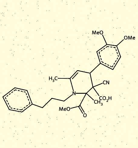 COC(=O)C1(C)N(CCCc2ccccc2)C(C)=CC(c2ccc(OC)c(OC)c2)C1(C#N)C(=O)O